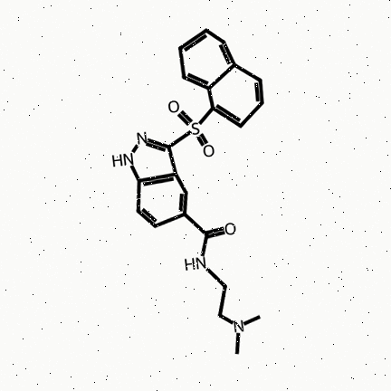 CN(C)CCNC(=O)c1ccc2[nH]nc(S(=O)(=O)c3cccc4ccccc34)c2c1